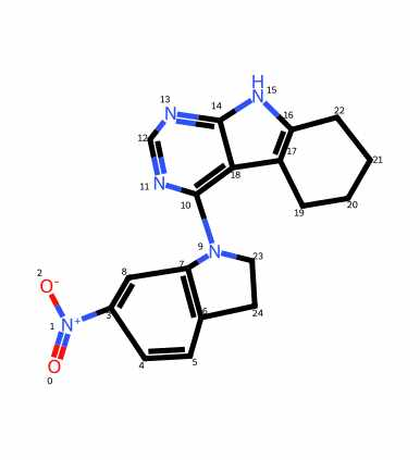 O=[N+]([O-])c1ccc2c(c1)N(c1ncnc3[nH]c4c(c13)CCCC4)CC2